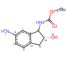 CC(C)(C)OC(=O)NC1c2cc(N)ccc2C[C@H]1O